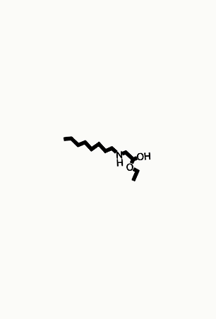 CCCCCCCCNCC(O)OCC